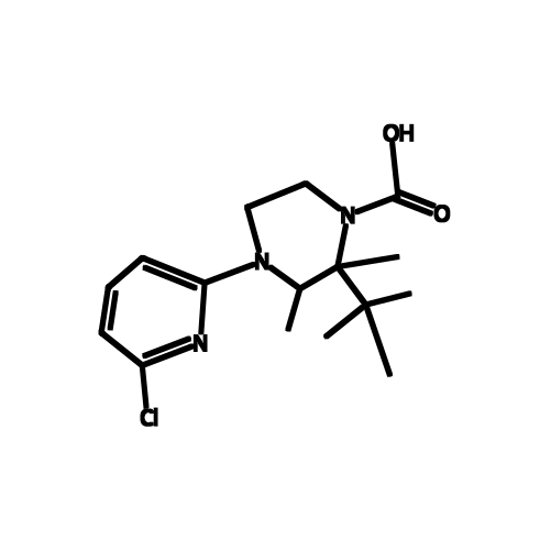 CC1N(c2cccc(Cl)n2)CCN(C(=O)O)C1(C)C(C)(C)C